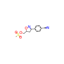 CS(=O)(=O)OCC1CC(c2ccc(C#N)cc2)=NO1